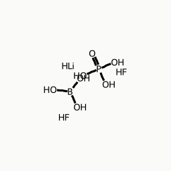 F.F.O=P(O)(O)O.OB(O)O.[LiH]